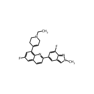 CCN1CC=C(c2cc(F)cc3ccc(-c4cc(F)c5nn(C)cc5c4)nc23)CC1